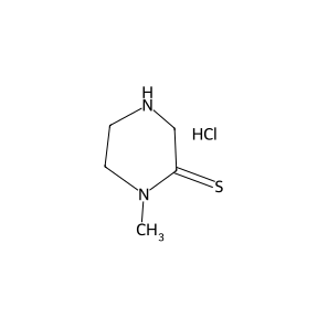 CN1CCNCC1=S.Cl